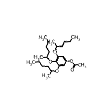 CCCCC(C)Oc1cc(OC(C)=O)cc(OC(C)CCCC)c1OC(C)CCCC